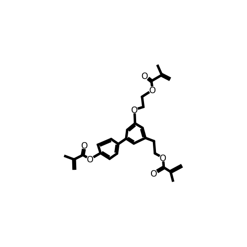 C=C(C)C(=O)OCCOc1cc(CCOC(=O)C(=C)C)cc(-c2ccc(OC(=O)C(=C)C)cc2)c1